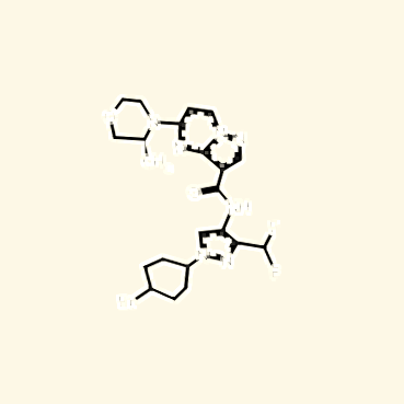 CCC1CCC(n2cc(NC(=O)c3cnn4ccc(N5CCOC[C@@H]5C)nc34)c(C(F)F)n2)CC1